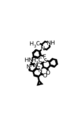 CC1CNCCN1c1ccc(Nc2ncc3cc(C4CC4)c(=O)n(C4C(=O)c5ccccc5SC4(C)C)c3n2)cc1F